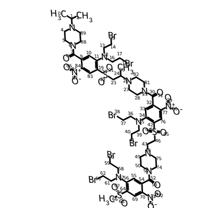 CC(C)N1CCN(C(=O)c2cc(N(CCBr)CCBr)c(S(=O)(=O)CC(C)N3CCN(C(=O)c4cc(N(CCBr)CCBr)c(S(=O)(=O)CCN5CCN(C(=O)c6cc(N(CCBr)CCBr)c(S(C)(=O)=O)cc6[N+](=O)[O-])CC5)cc4[N+](=O)[O-])CC3)cc2[N+](=O)[O-])CC1